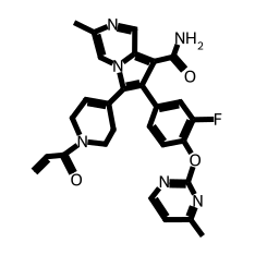 C=CC(=O)N1CC=C(c2c(-c3ccc(Oc4nccc(C)n4)c(F)c3)c(C(N)=O)c3cnc(C)cn23)CC1